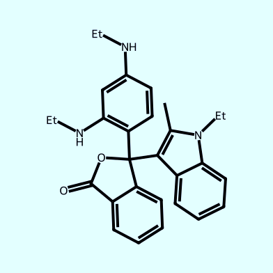 CCNc1ccc(C2(c3c(C)n(CC)c4ccccc34)OC(=O)c3ccccc32)c(NCC)c1